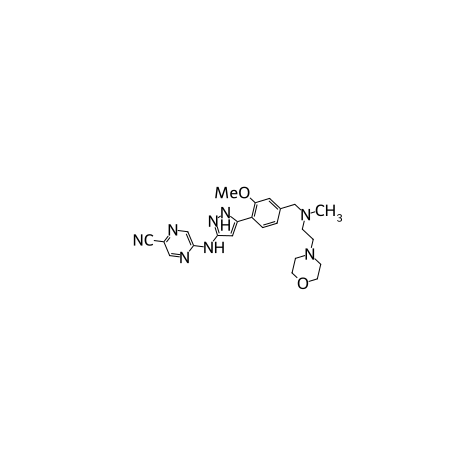 COc1cc(CN(C)CCN2CCOCC2)ccc1-c1cc(Nc2cnc(C#N)cn2)n[nH]1